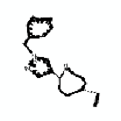 CC[C@@H]1CC[C@@H](c2cnn(Cc3ccccc3)c2)NC1